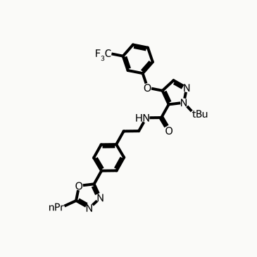 CCCc1nnc(-c2ccc(CCNC(=O)c3c(Oc4cccc(C(F)(F)F)c4)cnn3C(C)(C)C)cc2)o1